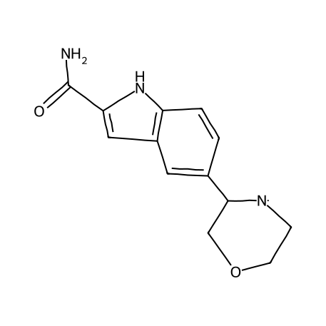 NC(=O)c1cc2cc(C3COCC[N]3)ccc2[nH]1